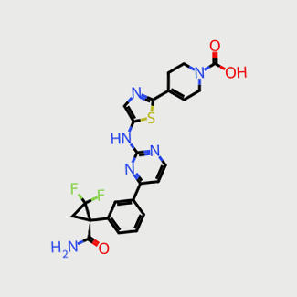 NC(=O)[C@@]1(c2cccc(-c3ccnc(Nc4cnc(C5=CCN(C(=O)O)CC5)s4)n3)c2)CC1(F)F